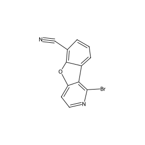 N#Cc1cccc2c1oc1ccnc(Br)c12